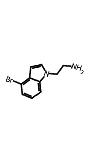 NCCn1ccc2c(Br)cccc21